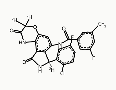 [2H]C1([2H])Oc2cc(NC(=O)c3cc(F)cc(C(F)(F)F)c3)c3c(c2NC1=O)C(=O)N[C@]3([2H])c1cc(F)ccc1Cl